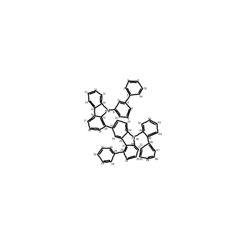 c1ccc(-c2cccc(-n3c4ccccc4c4cccc(-c5ccc6c(c5)c5c(-c7ccccc7)cccc5n6-c5ccccc5-c5ccccc5)c43)c2)cc1